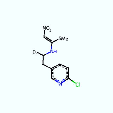 CCC(Cc1ccc(Cl)nc1)NC(=C[N+](=O)[O-])SC